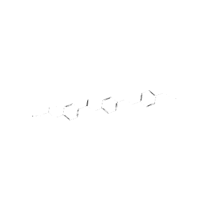 CCCCCCCCOc1ccc(COc2ccc(OC(=O)c3ccc(OC(C)CCCCCC)cc3)cc2)cc1